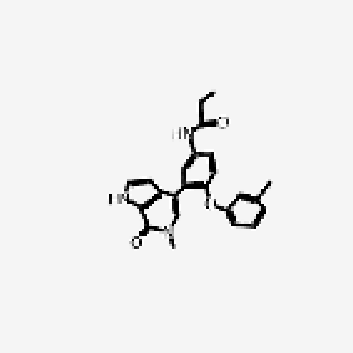 CCC(=O)Nc1ccc(Oc2cccc(C)c2)c(-c2cn(C)c(=O)c3[nH]ccc23)c1